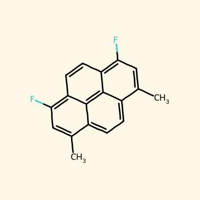 Cc1cc(F)c2ccc3c(F)cc(C)c4ccc1c2c43